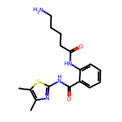 Cc1nc(NC(=O)c2ccccc2NC(=O)CCCCN)sc1C